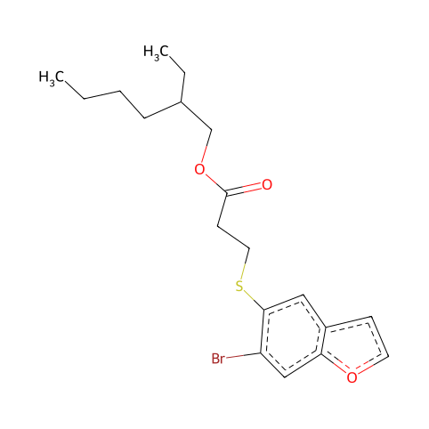 CCCCC(CC)COC(=O)CCSc1cc2ccoc2cc1Br